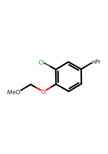 [CH2]CCc1ccc(OCOC)c(Cl)c1